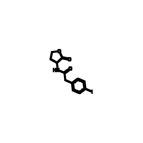 O=C(Cc1ccc(I)cc1)NC1CCOC1=O